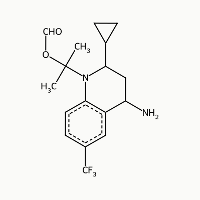 CC(C)(OC=O)N1c2ccc(C(F)(F)F)cc2C(N)CC1C1CC1